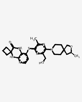 Cc1nc(N2CCC3(CC2)CO[C@@H](C)C3)c(CO)nc1Sc1ccnc2c1NC(=O)C1(CCC1)N2